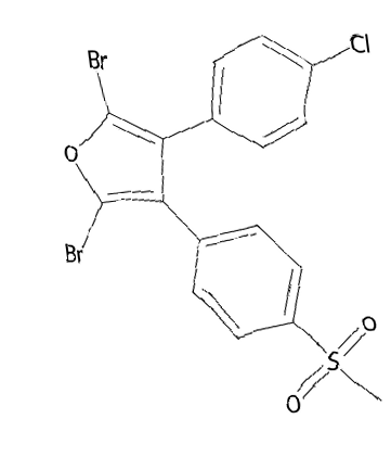 CS(=O)(=O)c1ccc(-c2c(Br)oc(Br)c2-c2ccc(Cl)cc2)cc1